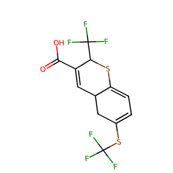 O=C(O)C1=CC2CC(SC(F)(F)F)=CC=C2SC1C(F)(F)F